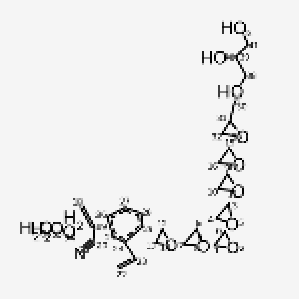 C1CO1.C1CO1.C1CO1.C1CO1.C1CO1.C1CO1.C=CC#N.C=Cc1ccccc1.CC1CO1.O.O.O.OCC(O)CO